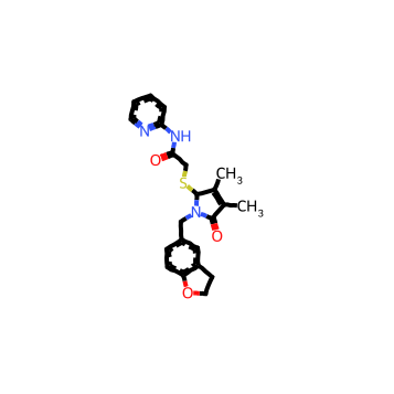 CC1=C(C)C(SCC(=O)Nc2ccccn2)N(Cc2ccc3c(c2)CCO3)C1=O